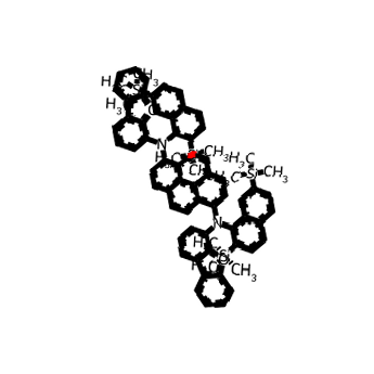 C[Si](C)(C)c1ccc2ccc([Si](C)(C)C)c(N(c3ccc4ccc5c(N(c6c([Si](C)(C)C)ccc7ccc([Si](C)(C)C)cc67)c6cccc7c6oc6ccccc67)ccc6ccc3c4c65)c3cccc4c3oc3ccccc34)c2c1